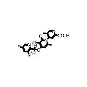 [2H]C([2H])(Oc1cc(C)n(-c2cc(C(=O)O)ncc2C)c(=O)c1Cl)c1ncc(F)cc1F